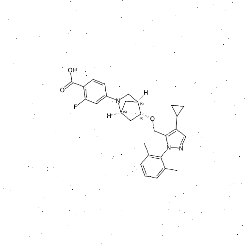 Cc1cccc(C)c1-n1ncc(C2CC2)c1CO[C@@H]1C[C@@H]2C[C@H]1CN2c1ccc(C(=O)O)c(F)c1